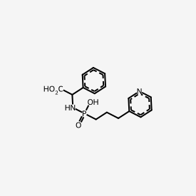 O=C(O)C(NP(=O)(O)CCCc1cccnc1)c1ccccc1